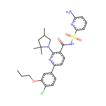 CCCOc1cc(-c2ccc(C(=O)NS(=O)(=O)c3cccc(N)n3)c(N3CC(C)CC3(C)C)n2)ccc1Cl